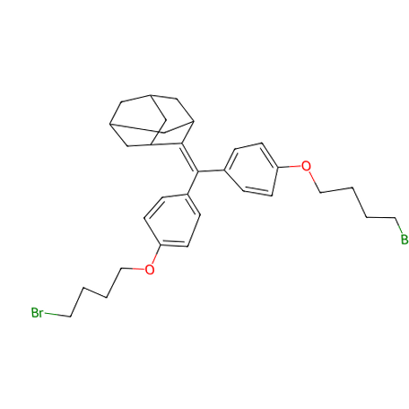 BrCCCCOc1ccc(C(=C2C3CC4CC(C3)CC2C4)c2ccc(OCCCCBr)cc2)cc1